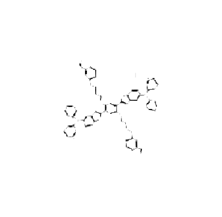 Cc1cccc(N(c2ccccc2)c2ccc3sc(-c4cc(OCCCCc5cccc(C=O)c5)c(-c5cc6cc(N(c7ccccc7)c7cccc(C)c7)ccc6s5)cc4OCCCCc4cccc(C=O)c4)cc3c2)c1